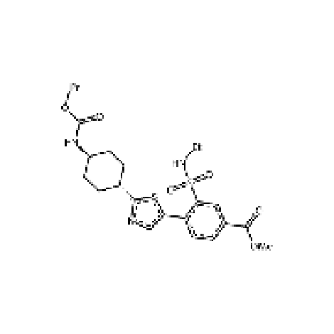 CCNS(=O)(=O)c1cc(C(=O)OC)ccc1-c1cnc([C@H]2CC[C@H](NC(=O)OC(C)C)CC2)s1